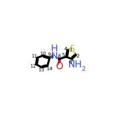 Nc1cscc1C(=O)Nc1ccccc1